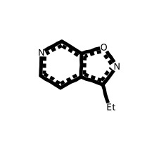 CCc1noc2cnccc12